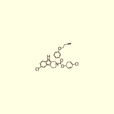 C#CCCOc1ccc([C@H]2c3[nH]c4ccc(Cl)cc4c3CCN2C(=O)OC2C=CC(Cl)=CC2)cc1